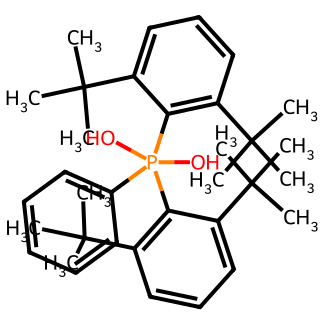 CC(C)(C)c1cccc(C(C)(C)C)c1P(O)(O)(c1ccccc1)c1c(C(C)(C)C)cccc1C(C)(C)C